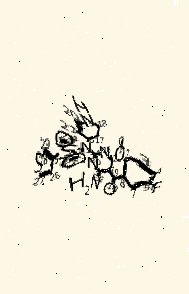 COc1ccc(F)cc1C(=O)c1cnc(N(C2CCNCC2)S(=O)(=O)c2ccsc2)nc1N